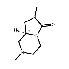 CN1C[C@@H]2CN(I)CCN2C1=O